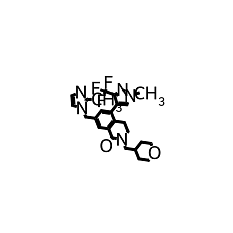 Cc1nccn1Cc1cc2c(c(-c3cn(C)nc3C(F)(F)F)c1)CCN(CC1CCOCC1)C2=O